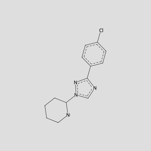 Clc1ccc(-c2ncn(C3CCCC[N]3)n2)cc1